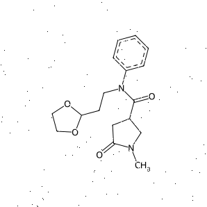 CN1CC(C(=O)N(CCC2OCCO2)c2ccccc2)CC1=O